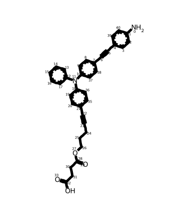 Nc1ccc(C#Cc2ccc(N(c3ccccc3)c3ccc(C#CCCCOC(=O)CCC(=O)O)cc3)cc2)cc1